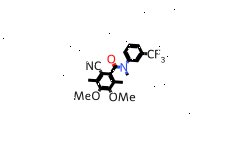 COc1c(C)c(C#N)c(C(=O)N(C)c2cccc(C(F)(F)F)c2)c(C)c1OC